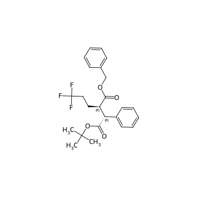 CC(C)(C)OC(=O)[C@@H](c1ccccc1)[C@@H](CCC(F)(F)F)C(=O)OCc1ccccc1